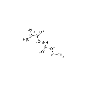 C=C(P)C(=O)ONC(=O)OCC